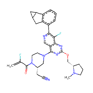 C=C(F)C(=O)N1CCN(c2nc(OC[C@@H]3CCCN3C)nc3c(F)c(-c4cccc5c4CC4CC54)ncc23)C[C@@H]1CC#N